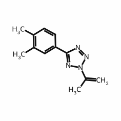 C=C(C)n1nnc(-c2ccc(C)c(C)c2)n1